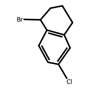 Clc1ccc2c(c1)CCCC2Br